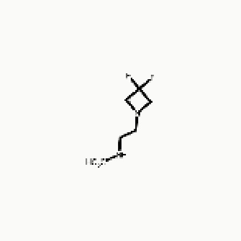 O=C(O)NCCN1CC(F)(F)C1